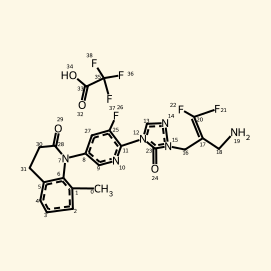 Cc1cccc2c1N(c1cnc(-n3cnn(CC(CN)=C(F)F)c3=O)c(F)c1)C(=O)CC2.O=C(O)C(F)(F)F